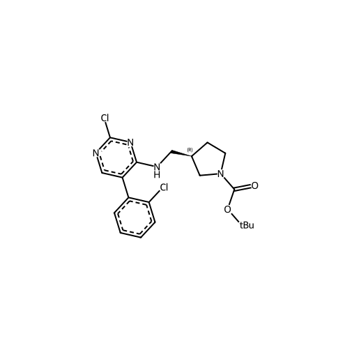 CC(C)(C)OC(=O)N1CC[C@H](CNc2nc(Cl)ncc2-c2ccccc2Cl)C1